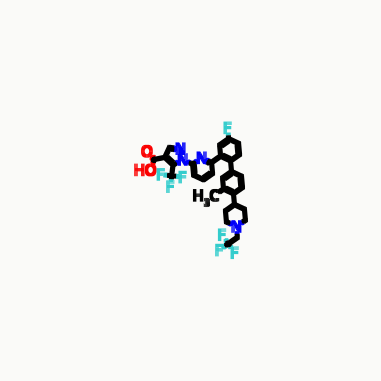 Cc1cc(-c2ccc(F)cc2-c2cccc(-n3ncc(C(=O)O)c3C(F)(F)F)n2)ccc1C1CCN(CC(F)(F)F)CC1